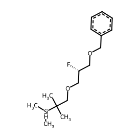 C[SiH](C)C(C)(C)COC[C@H](F)COCc1ccccc1